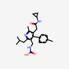 Cc1ccc(-c2c(CC(=O)NC3CC3)c(C)nc(CC(C)C)c2CNC(=O)O)cc1